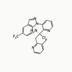 N[C@](Cl)(Cc1ncccc1F)c1ncccc1-n1ncc2cc(C(F)(F)F)ccc21